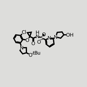 CC(C)(C)OC1CCN(c2cccc(Cl)c2OC2(C(=O)NS(=O)(=O)c3cccc(N4CCC(O)C4)n3)CC2)C1